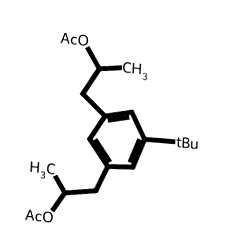 CC(=O)OC(C)Cc1cc(CC(C)OC(C)=O)cc(C(C)(C)C)c1